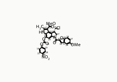 COC(=O)c1c(C)[nH]c2c(OC(=O)Oc3ccc([N+](=O)[O-])cc3)cc3c(c12)[C@H](CCl)CN3C(=O)c1cc2cc(OC)ccc2o1